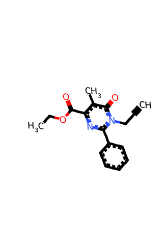 C#CCn1c(-c2ccccc2)nc(C(=O)OCC)c(C)c1=O